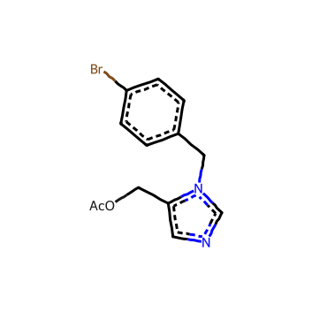 CC(=O)OCc1cncn1Cc1ccc(Br)cc1